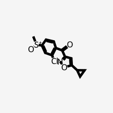 C[S+]([O-])c1ccc(C(=O)c2cc(C3CC3)on2)c(Cl)c1